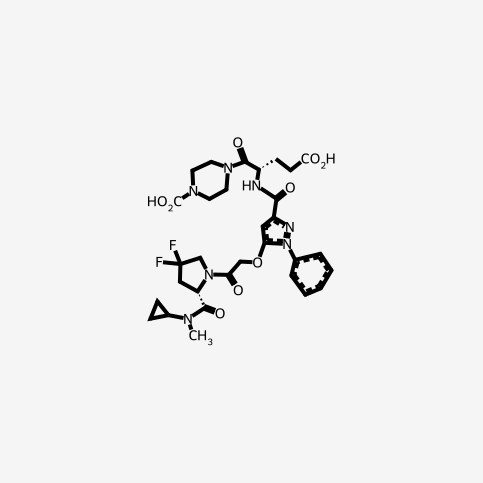 CN(C(=O)[C@@H]1CC(F)(F)CN1C(=O)COc1cc(C(=O)N[C@@H](CCC(=O)O)C(=O)N2CCN(C(=O)O)CC2)nn1-c1ccccc1)C1CC1